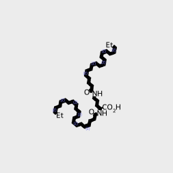 CC/C=C\C/C=C\C/C=C\C/C=C\C/C=C\C/C=C\CCC(=O)N[C@@H](CCCNC(=O)CCC/C=C\C/C=C\C/C=C\C/C=C\C/C=C\CC)C(=O)O